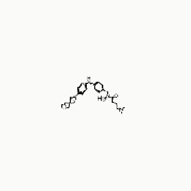 CN(C)CCCC(=O)N(O)Cc1ccc(Nc2ccc(N3CC4(COC4)C3)cc2)cc1